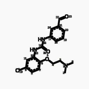 CN(C)CCOc1ccc(Cl)cc1NC(=O)Nc1cccc(C=O)c1